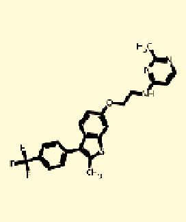 Cc1nccc(NCCOc2ccc3c(-c4ccc(C(F)(F)F)cc4)c(C)sc3c2)n1